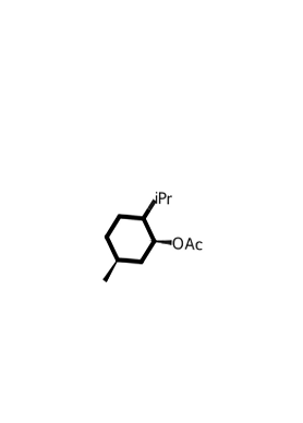 CC(=O)O[C@H]1C[C@@H](C)CCC1C(C)C